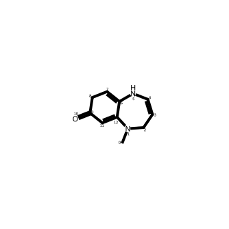 CN1CC=CNC2=CCC(=O)C=C21